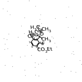 CCOC(=O)c1ccc(Cl)c(C(C)(O[Si](C)(C)C)C(C)(C)C)c1F